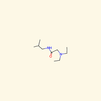 CCN(CC)CC(=O)NCC(C)C